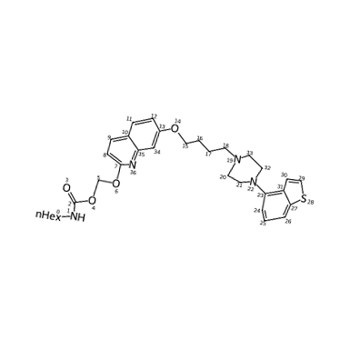 CCCCCCNC(=O)OCOc1ccc2ccc(OCCCCN3CCN(c4cccc5sccc45)CC3)cc2n1